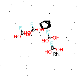 C1=CC2C=CC1C2.OB(O)F.OB(O)F.OB(O)F.OB(O)F.[Rh]